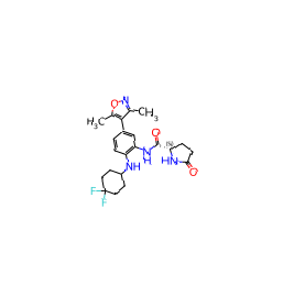 Cc1noc(C)c1-c1ccc(NC2CCC(F)(F)CC2)c(NC(=O)[C@@H]2CCC(=O)N2)c1